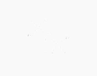 CCCC[P+](CCCC)(CCCC)CCCC.CCC[CH2][Sn]([I])([CH2]CCC)[CH2]CCC.[I-]